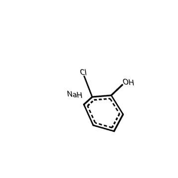 Oc1ccccc1Cl.[NaH]